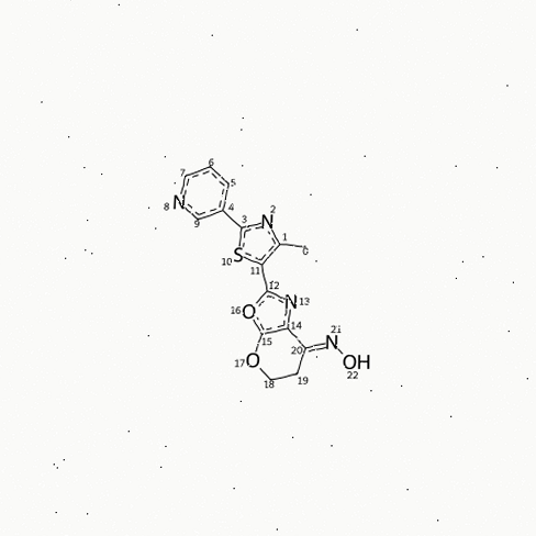 Cc1nc(-c2cccnc2)sc1-c1nc2c(o1)OCC/C2=N\O